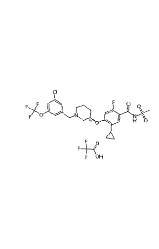 CS(=O)(=O)NC(=O)c1cc(C2CC2)c(O[C@@H]2CCCN(Cc3cc(Cl)cc(OC(F)(F)F)c3)C2)cc1F.O=C(O)C(F)(F)F